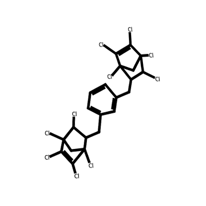 ClC1=C(Cl)C2(Cl)CC1(Cl)C(Cl)C2Cc1cccc(CC2C(Cl)C3(Cl)CC2(Cl)C(Cl)=C3Cl)c1